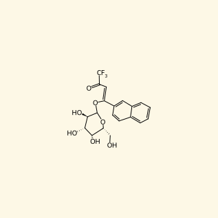 O=C(C=C(OC1O[C@H](CO)[C@H](O)[C@H](O)[C@H]1O)c1ccc2ccccc2c1)C(F)(F)F